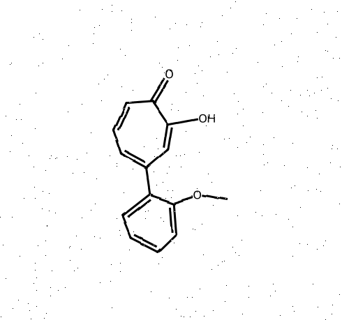 COc1ccccc1-c1cccc(=O)c(O)c1